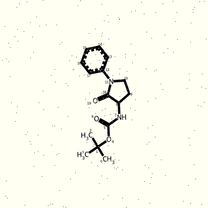 CC(C)(C)OC(=O)NC1CCN(c2ccccc2)C1=O